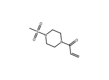 C=CC(=O)N1CCN(S(C)(=O)=O)CC1